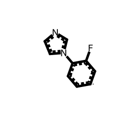 Fc1c[c]ccc1-n1ccnc1